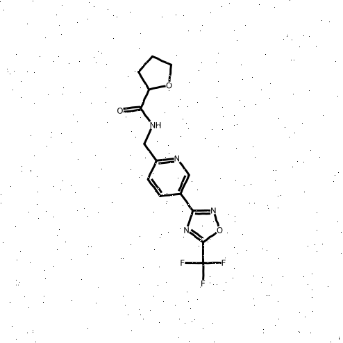 O=C(NCc1ccc(-c2noc(C(F)(F)F)n2)cn1)C1CCCO1